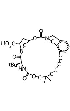 CC1(C)CCCCc2cccc3c2CN(C3)C(=O)OC2C[C@@H](C(=O)O)N(C2)C(=O)[C@H](C(C)(C)C)NC(=O)OC1